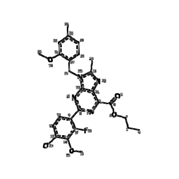 CCCOC(=O)c1nc(-c2ccc(Cl)c(OC)c2F)nc2c1nc(C)n2Cc1ccc(C)cc1OC